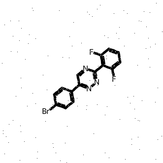 Fc1cccc(F)c1-c1ncc(-c2ccc(Br)cc2)nn1